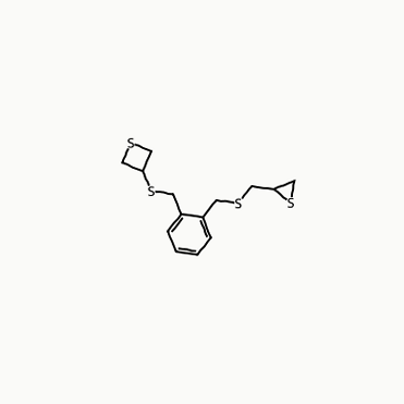 c1ccc(CSC2CSC2)c(CSCC2CS2)c1